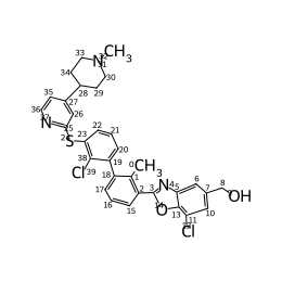 Cc1c(-c2nc3cc(CO)cc(Cl)c3o2)cccc1-c1cccc(Sc2cc(C3CCN(C)CC3)ccn2)c1Cl